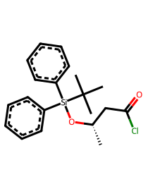 C[C@@H](CC(=O)Cl)O[Si](c1ccccc1)(c1ccccc1)C(C)(C)C